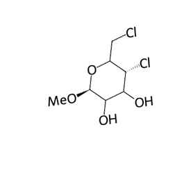 CO[C@H]1OC(CCl)[C@H](Cl)C(O)C1O